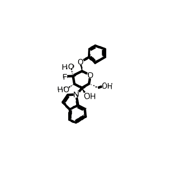 OC[C@H]1O[C@H](Oc2ccccc2)[C@](O)(F)[C@@H](O)[C@@]1(O)n1ccc2ccccc21